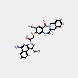 COc1cc2c(cc1OCC(=O)N1C[C@@H](CCl)c3c1cc(N)c1ccccc31)N=C[C@@H]1Cc3ccccc3CN1C2=O